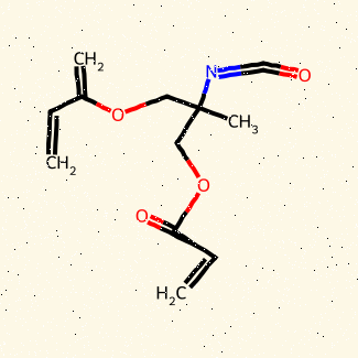 C=CC(=C)OCC(C)(COC(=O)C=C)N=C=O